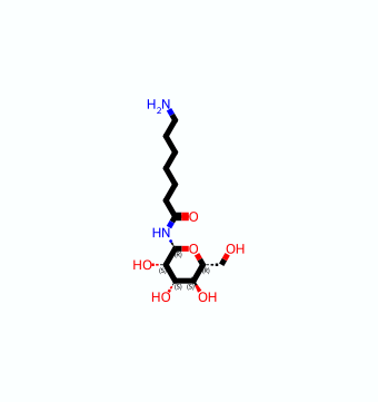 NCCCCCCC(=O)N[C@@H]1O[C@H](CO)[C@@H](O)[C@H](O)[C@@H]1O